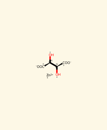 O=C([O-])[C@@H](O)[C@H](O)C(=O)[O-].[Zn+2]